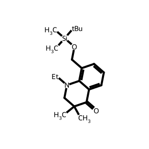 CCN1CC(C)(C)C(=O)c2cccc(CO[Si](C)(C)C(C)(C)C)c21